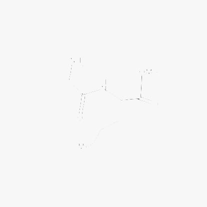 COC(=O)[C@H](CCSC)NC(=O)[C@H](C)N